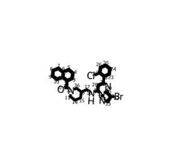 O=C(c1cccc2ccccc12)N1CCCC(CNc2cc(-c3ccccc3Cl)nc3c(Br)cnn23)C1